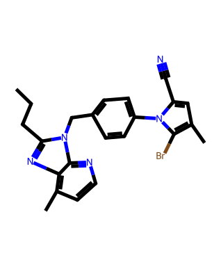 CCCc1nc2c(C)ccnc2n1Cc1ccc(-n2c(C#N)cc(C)c2Br)cc1